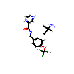 CC(C)(C)N.O=C(NCc1ccc(OC(F)(F)F)cc1)c1cnccn1